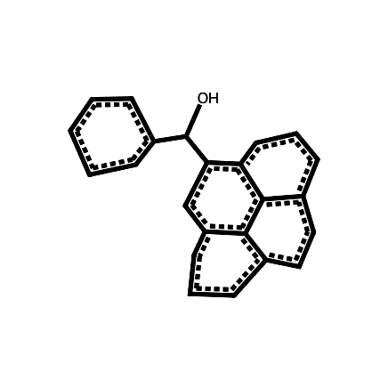 OC(c1ccccc1)c1cc2cccc3ccc4cccc1c4c32